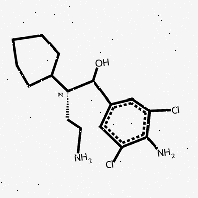 NCC[C@H](C1CCCCC1)C(O)c1cc(Cl)c(N)c(Cl)c1